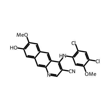 COc1cc2cc3c(Nc4cc(OC)c(Cl)cc4Cl)c(C#N)cnc3cc2cc1O